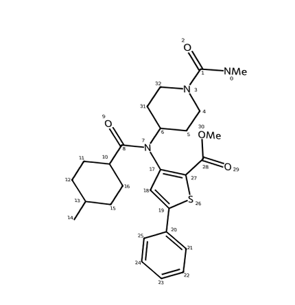 CNC(=O)N1CCC(N(C(=O)C2CCC(C)CC2)c2cc(-c3ccccc3)sc2C(=O)OC)CC1